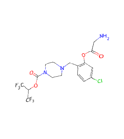 NCC(=O)Oc1cc(Cl)ccc1CN1CCN(C(=O)OC(C(F)(F)F)C(F)(F)F)CC1